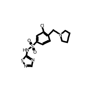 O=S(=O)(Nc1ncns1)c1ccc(CN2CCCC2)c(Cl)c1